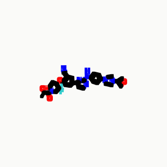 C[C@@H](O)C(=O)N1CC[C@@H](Oc2ccc(-c3ccnc(Nc4ccc(N5CCN(C6COC6)CC5)cc4)n3)cc2C#N)C(F)(F)C1